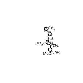 CCOC(=O)c1cc(NCc2cccc(-c3nccn3C)c2)n2nc(C)c(-c3ccc(OC)c(SC)c3)c2n1